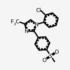 CS(=O)(=O)c1ccc(-c2nc(C(F)(F)F)cn2-c2ccccc2Cl)cc1